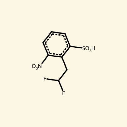 O=[N+]([O-])c1cccc(S(=O)(=O)O)c1CC(F)F